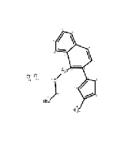 CC1=CCC(c2ccc3ccccc3[c]2[Ti+2][O]CC(C)(C)C)=C1.[Cl-].[Cl-]